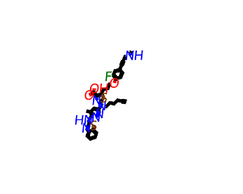 C#CCCCCN(c1cc(C)c(Nc2nc3ccccc3s2)nn1)c1nc(C(=O)O)c(CCCOc2ccc(C#CCNC)cc2F)s1